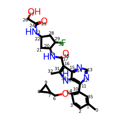 Cc1ccc(OCC2CC2)c(-c2ncnc3c(C(=O)NC4CC(NC(=O)CO)CC4F)c(C)[nH]c23)c1